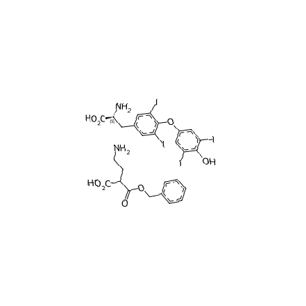 NCCC(C(=O)O)C(=O)OCc1ccccc1.N[C@@H](Cc1cc(I)c(Oc2cc(I)c(O)c(I)c2)c(I)c1)C(=O)O